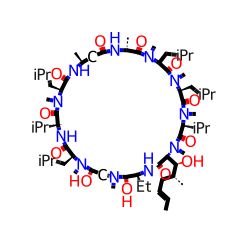 C/C=C/C[C@@H](C)[C@@H](O)[C@H]1C(=O)N[C@@H](CC)C(O)N(C)CC(O)N(C)[C@@H](CC(C)C)C(=O)N[C@@H](C(C)C)C(=O)N(C)[C@@H](CC(C)C)C(=O)N[C@@H](C)CC(=O)N[C@H](C)C(=O)N(C)C(CC(C)C)C(=O)N(C)[C@@H](CC(C)C)C(=O)N(C)[C@@H](C(C)C)C(=O)N1C